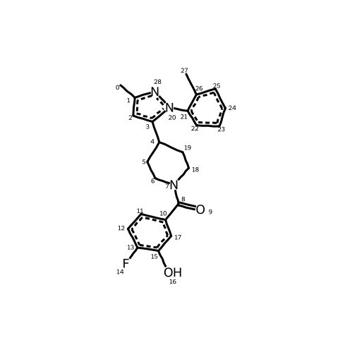 Cc1cc(C2CCN(C(=O)c3ccc(F)c(O)c3)CC2)n(-c2ccccc2C)n1